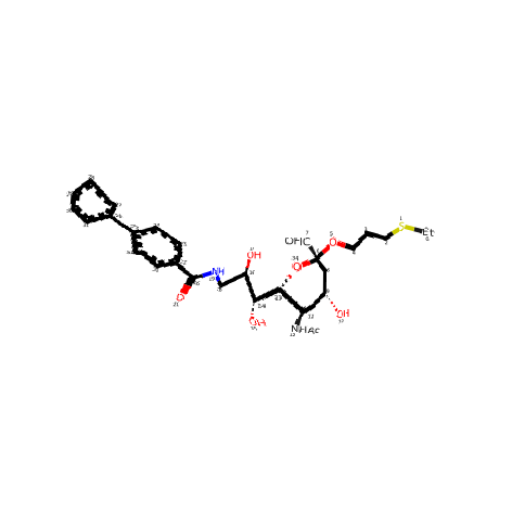 CCSCCCO[C@]1(C=O)C[C@H](O)[C@@H](NC(C)=O)[C@H]([C@H](O)[C@H](O)CNC(=O)c2ccc(-c3ccccc3)cc2)O1